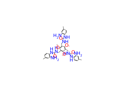 COc1c(CNC(=O)Nc2ccc(C)cc2N)c(OC)c(CNC(=O)Nc2ccc(C)cc2N)c(OC)c1CNC(=O)Nc1ccc(C)cc1N